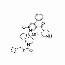 CC(CC1CCC1)C(=O)N1CCC(O)(Cn2cc(C(=O)N3CCNCC3)c(-c3ccccc3)cc2=O)C2(CCCC2)C1